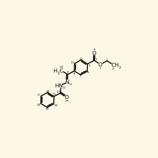 CCOC(=O)c1ccc(C(C)=NNC(=O)c2ccccc2)cc1